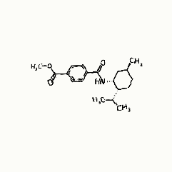 COC(=O)c1ccc(C(=O)N[C@@H]2C[C@@H](C)CC[C@@H]2C(C)C)cc1